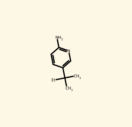 CCC(C)(C)c1ccc(N)nc1